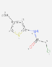 CCCCc1csc(NC(=O)CCl)c1